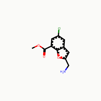 COC(=O)c1cc(Cl)cc2cc(CN)oc12